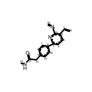 C=Cc1ccc(-c2ccc(CC(=O)NC)cc2)nc1N=C